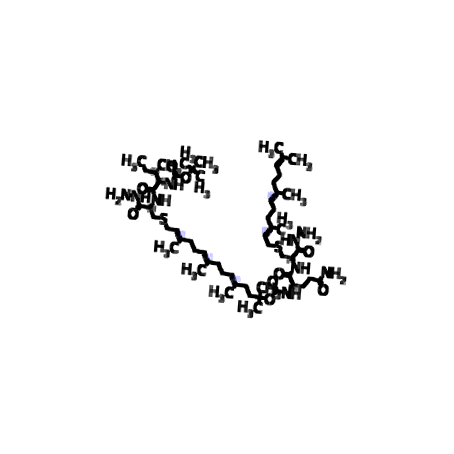 CC[C@H](C)[C@@H](NC(=O)OC(C)(C)C)C(=O)N[C@@H](CSC/C=C(\C)CC/C=C(\C)CC/C=C(\C)CCC(C)(C)OC(=O)N[C@H](CCC(N)=O)C(=O)N[C@@H](CSC/C=C(\C)CC/C=C(\C)CCC=C(C)C)C(=O)NN)C(=O)NN